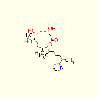 C/C(=C\C=C\[C@@H](C)c1ccccn1)[C@H]1OC(=O)C[C@H](O)CC[C@@](C)(O)[C@@H](O)/C=C/[C@@H]1C